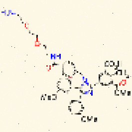 COC(=O)c1cc(-c2nc(-c3cccc(OC)c3)c(-c3cccc(OC)c3)n2Cc2ccc(C(=O)NCCOCCOCCN)cc2)cc(C(=O)O)c1C